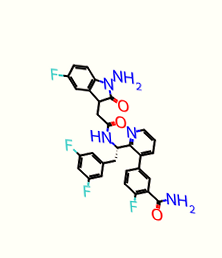 NC(=O)c1cc(-c2cccnc2[C@H](Cc2cc(F)cc(F)c2)NC(=O)CC2C(=O)N(N)c3ccc(F)cc32)ccc1F